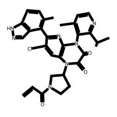 C=CC(=O)N1CCC(n2c(=O)c(=O)n(-c3c(C)ccnc3C(C)C)c3nc(-c4c(C)ccc5[nH]ncc45)c(Cl)cc32)C1